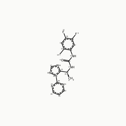 C[C@H](NC(=O)Nc1cc(F)c(F)cc1I)c1ncnn1-c1ncccn1